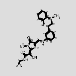 CCn1c(=C(C#N)C(=O)NCC#N)sc(=CNc2cccc(CCN(C)c3ccccc3F)c2)c1=O